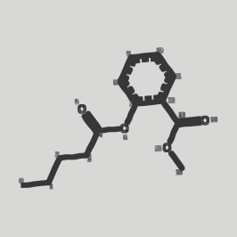 CCC[CH]C(=O)Oc1ccccc1C(=O)OC